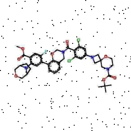 COC(=O)c1cc(F)c(-c2cccc3c2OCN(C(=O)c2c(Cl)cc(N4CC5(CN(C(=O)OC(C)(C)C)CCO5)C4)cc2Cl)C3)cc1N1C2CCC1COC2